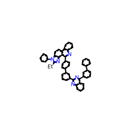 CCc1nc2c3c(-c4ccc(-c5cccc(-c6nc(-c7cccc(-c8ccccc8)c7)c7ccccc7n6)c5)cc4)nc4ccccc4c3ccc2n1-c1ccccc1